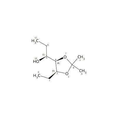 CC[C@@H]1OC(C)(C)O[C@@H]1[C@@H](O)CC